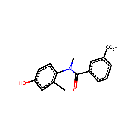 Cc1cc(O)ccc1N(C)C(=O)c1cccc(C(=O)O)c1